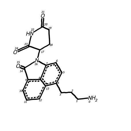 NCCCc1ccc2c3c(cccc13)C(=O)N2C1CCC(=O)NC1=O